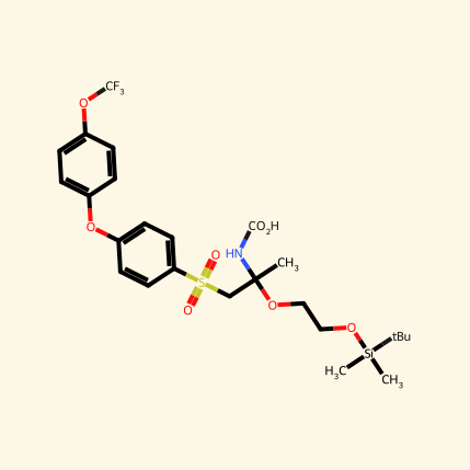 CC(CS(=O)(=O)c1ccc(Oc2ccc(OC(F)(F)F)cc2)cc1)(NC(=O)O)OCCO[Si](C)(C)C(C)(C)C